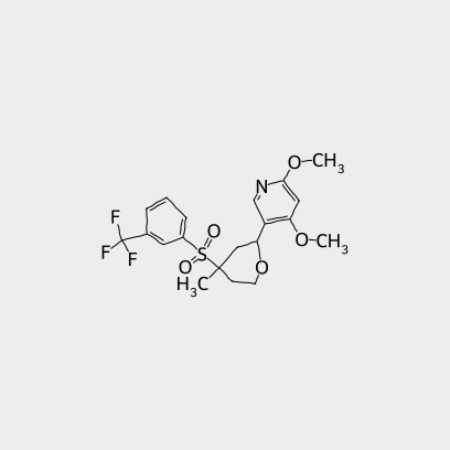 COc1cc(OC)c(C2CC(C)(S(=O)(=O)c3cccc(C(F)(F)F)c3)CCO2)cn1